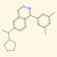 Cc1cc(C)cc(-c2nccc3cc(C(C)C4CCCC4)ccc23)c1